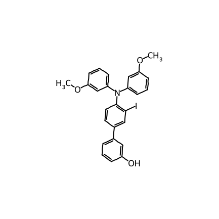 COc1cccc(N(c2cccc(OC)c2)c2ccc(-c3cccc(O)c3)cc2I)c1